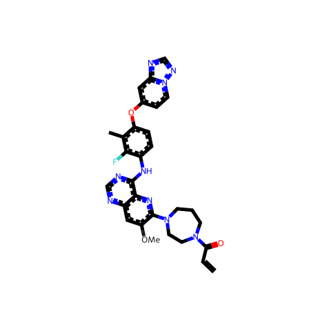 C=CC(=O)N1CCCN(c2nc3c(Nc4ccc(Oc5ccn6ncnc6c5)c(C)c4F)ncnc3cc2OC)CC1